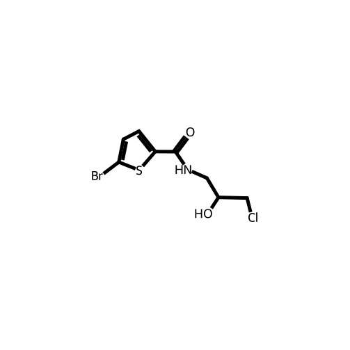 O=C(NCC(O)CCl)c1ccc(Br)s1